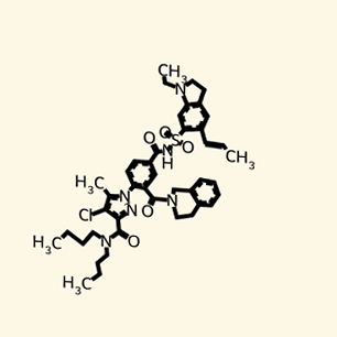 CC=Cc1cc2c(cc1S(=O)(=O)NC(=O)c1ccc(-n3nc(C(=O)N(CCCC)CCCC)c(Cl)c3C)c(C(=O)N3CCc4ccccc4C3)c1)N(CC)CC2